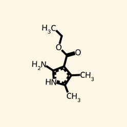 CCOC(=O)c1c(N)[nH]c(C)c1C